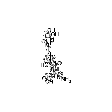 C[C@H]1CN(/N=C/C=N/NC(=O)c2ccc(O)c(O)c2Cl)C(=O)N1[C@]1(C(=O)O)CN2C(=O)[C@@H](NC(=O)/C(=N\OC(C)(C)C(=O)O)c3csc(N)n3)[C@H]2S1